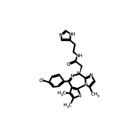 Cc1sc2c(c1C)C(c1ccc(Cl)cc1)=N[C@@H](CC(=O)NCCc1cnc[nH]1)c1ncc(C)n1-2